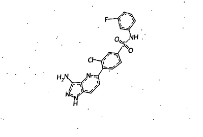 Nc1n[nH]c2ccc(-c3ccc(S(=O)(=O)Nc4cccc(F)c4)cc3Cl)nc12